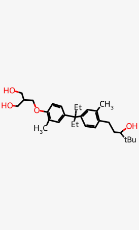 CCC(CC)(c1ccc(CCC(O)C(C)(C)C)c(C)c1)c1ccc(OCC(CO)CO)c(C)c1